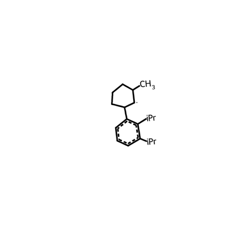 CC1[CH]C(c2cccc(C(C)C)c2C(C)C)CCC1